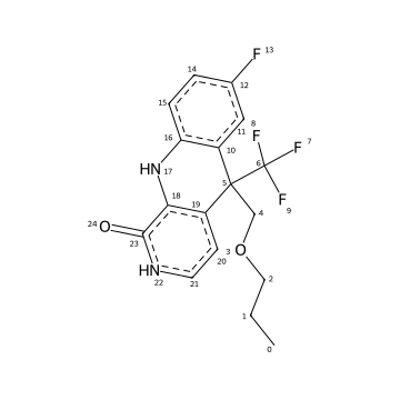 CCCOCC1(C(F)(F)F)c2cc(F)ccc2Nc2c1cc[nH]c2=O